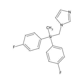 C[Si](Cn1ccnc1)(c1ccc(F)cc1)c1ccc(F)cc1